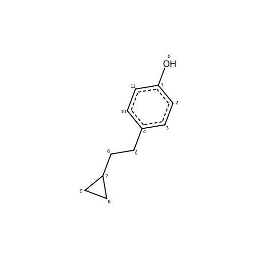 Oc1ccc([CH]CC2CC2)cc1